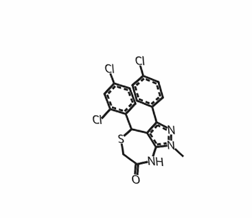 Cn1nc(-c2ccc(Cl)cc2)c2c1NC(=O)CSC2c1ccc(Cl)cc1Cl